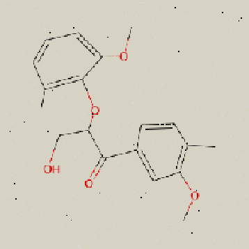 COc1cc(C(=O)C(CO)Oc2c(C)cccc2OC)ccc1C